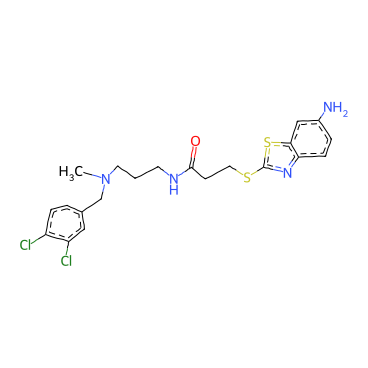 CN(CCCNC(=O)CCSc1nc2ccc(N)cc2s1)Cc1ccc(Cl)c(Cl)c1